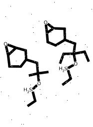 CC[SiH2]OC(C)(C)CC1CCC2OC2C1.CC[SiH2]OC(CC)(CC)CC1CCC2OC2C1